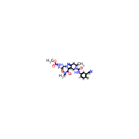 COC(=O)NC[C@@H]1Cn2nc3c(c2C(=O)N(C)O1)CN(C(=O)Nc1ccc(F)c(C#N)c1)[C@H](C)C3